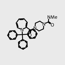 CNC(=O)N1CCN(C(=O)C2=CC=CC=CN2C(c2ccccc2)(c2ccccc2)c2ccccc2)CC1